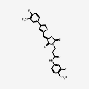 O=C(CCN1C(=O)/C(=C/c2cc(-c3ccc(F)c(C(F)(F)F)c3)cs2)SC1=S)Nc1ccc(C(=O)O)c(F)c1